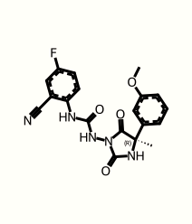 COc1cccc([C@@]2(C)NC(=O)N(NC(=O)Nc3ccc(F)cc3C#N)C2=O)c1